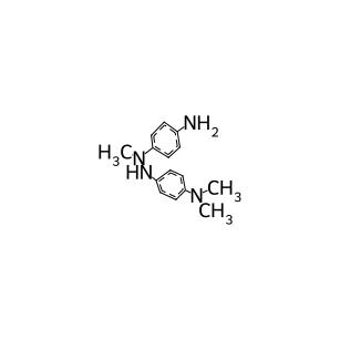 CN(C)c1ccc(NN(C)c2ccc(N)cc2)cc1